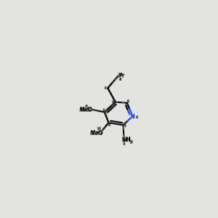 COc1c(CC(C)C)cnc([SiH3])c1OC